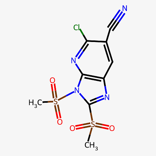 CS(=O)(=O)c1nc2cc(C#N)c(Cl)nc2n1S(C)(=O)=O